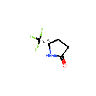 O=C1CC[C@@H](C(F)(F)F)N1